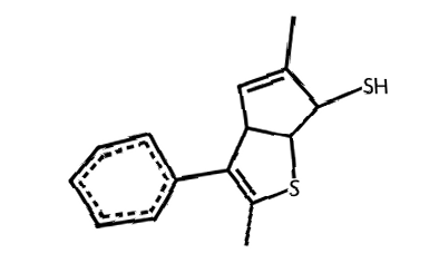 CC1=CC2C(c3ccccc3)=C(C)SC2C1S